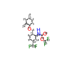 Cc1ccc(OCc2ccc(C(F)F)cc2NC(=O)OC(F)F)c(C)c1